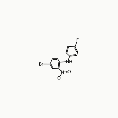 O=[N+]([O-])c1cc(Br)ccc1Nc1ccc(F)cc1